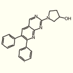 OC1CCN(c2ncc3cc(-c4ccccc4)c(-c4cc[c]cc4)nc3n2)C1